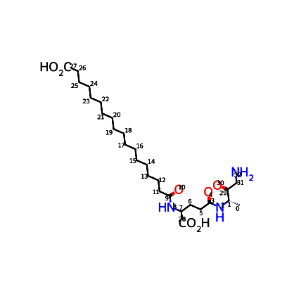 C[C@H](NC(=O)CC[C@H](NC(=O)CCCCCCCCCCCCCCCCC(=O)O)C(=O)O)C(=O)CN